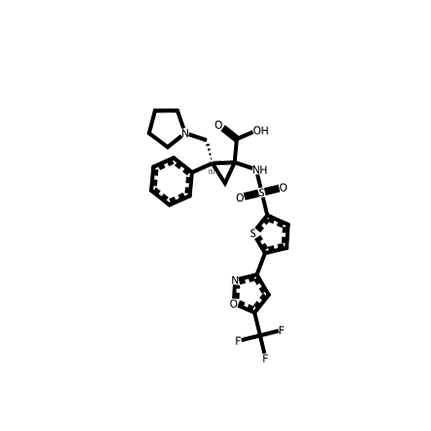 O=C(O)C1(NS(=O)(=O)c2ccc(-c3cc(C(F)(F)F)on3)s2)C[C@@]1(CN1CCCC1)c1ccccc1